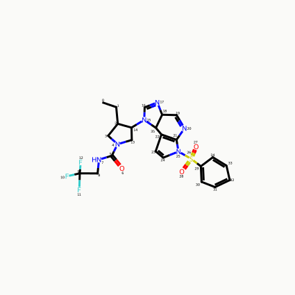 CCC1CN(C(=O)NCC(F)(F)F)CC1N1C=NC2C=Nc3c(ccn3S(=O)(=O)c3ccccc3)C21